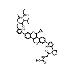 CCCN(Cc1ncc(-c2ccc3c(c2)OC(C2CC2)C2=C3COc3cc(-c4cnc(C5CCCN5C(=O)CNC(=O)O)[nH]4)ccc32)[nH]1)C(=O)[C@@H](NC(=O)OC)C(C)C